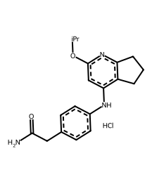 CC(C)Oc1cc(Nc2ccc(CC(N)=O)cc2)c2c(n1)CCC2.Cl